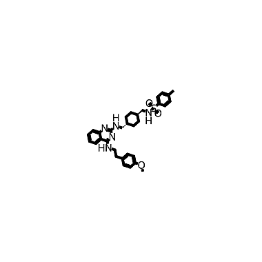 COc1ccc(CCNc2nc(NC[C@H]3CC[C@H](CNS(=O)(=O)c4ccc(C)cc4)CC3)nc3ccccc23)cc1